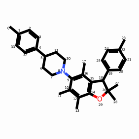 Cc1ccc(C2CCN(c3c(C)c(C)c4c(c3C)C(c3ccc(C)cc3)C(C)(C)O4)CC2)cc1